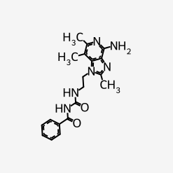 Cc1nc(N)c2nc(C)n(CCNC(=O)NC(=O)c3ccccc3)c2c1C